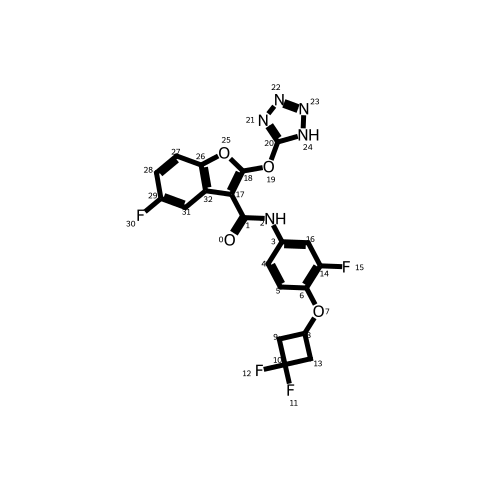 O=C(Nc1ccc(OC2CC(F)(F)C2)c(F)c1)c1c(Oc2nnn[nH]2)oc2ccc(F)cc12